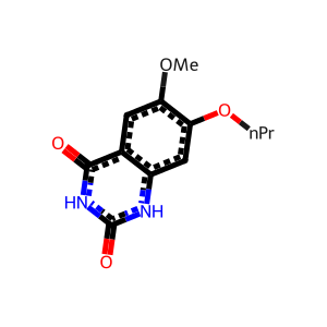 CCCOc1cc2[nH]c(=O)[nH]c(=O)c2cc1OC